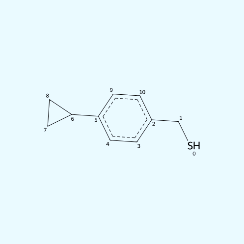 SCc1ccc(C2CC2)cc1